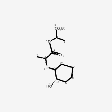 CCOC(=O)C(C)OC(=O)C(C)OC1CCCC[C@@H]1O